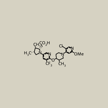 COc1cc(N2CCC(Oc3ncc(N4C[C@H](C)[C@@H](C)[C@@H]4CC(=O)O)cc3C(F)(F)F)C(C)C2)c(Cl)cn1